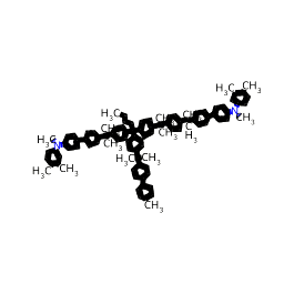 CCCCC(c1ccc(C(C)(C)c2ccc(-c3ccc(C)cc3)cc2)cc1)(c1ccc(C(C)(C)c2ccc(-c3ccc(N(C)c4ccc(C)c(C)c4)cc3)cc2)cc1)c1ccc(C(C)(C)c2ccc(C(C)(C)c3ccc(-c4ccc(N(C)c5ccc(C)c(C)c5)cc4)cc3)cc2)cc1